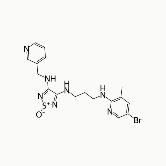 Cc1cc(Br)cnc1NCCCNc1n[s+]([O-])nc1NCc1cccnc1